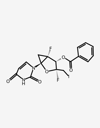 O=C(O[C@@H]1[C@@](F)(CI)O[C@]2(n3ccc(=O)[nH]c3=O)C[C@@]12F)c1ccccc1